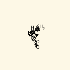 Cn1cc(-c2[nH]c3nccc(N4CCN(C(=O)OC5COC5)CC4)c3c2C2CC2)cn1